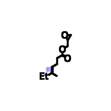 CC/C(C)=C/CCC(=O)OCC1CO1